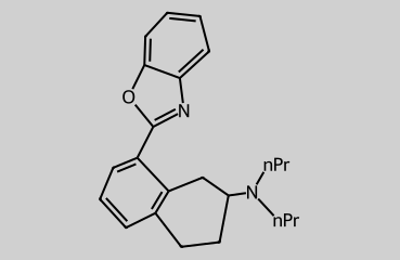 CCCN(CCC)C1CCc2cccc(-c3nc4ccccc4o3)c2C1